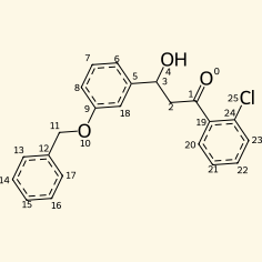 O=C(CC(O)c1cccc(OCc2ccccc2)c1)c1ccccc1Cl